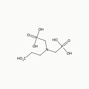 O=C(O)CCN(CP(=O)(O)O)CP(=O)(O)O